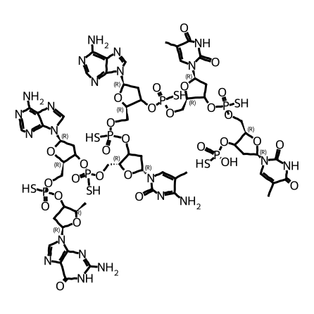 Cc1cn([C@H]2CC(OP(=O)(S)OC[C@H]3O[C@@H](n4cnc5c(N)ncnc54)CC3OP(=O)(S)OC[C@H]3O[C@@H](n4cc(C)c(=O)[nH]c4=O)CC3OP(=O)(S)OC[C@H]3O[C@@H](n4cc(C)c(=O)[nH]c4=O)CC3OP(=O)(O)S)[C@@H](COP(=O)(S)OC3C[C@H](n4cnc5c(N)ncnc54)O[C@@H]3COP(=O)(S)OC3C[C@H](n4cnc5c(=O)[nH]c(N)nc54)O[C@@H]3C)O2)c(=O)nc1N